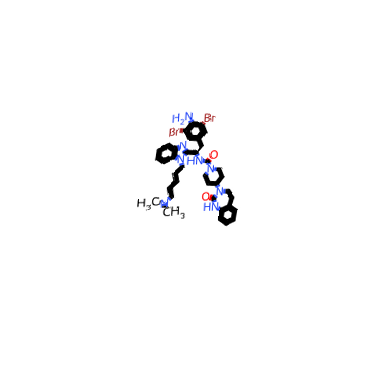 CN(C)CCCCCn1c([C@@H](Cc2cc(Br)c(N)c(Br)c2)NC(=O)N2CCC(N3CCc4ccccc4NC3=O)CC2)nc2ccccc21